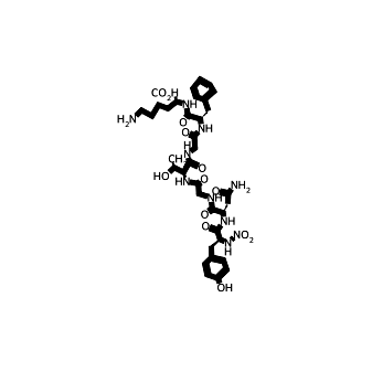 C[C@@H](O)[C@H](NC(=O)CNC(=O)[C@H](CC(N)=O)NC(=O)[C@H](Cc1ccc(O)cc1)N[N+](=O)[O-])C(=O)NCC(=O)N[C@@H](Cc1ccccc1)C(=O)N[C@@H](CCCCN)C(=O)O